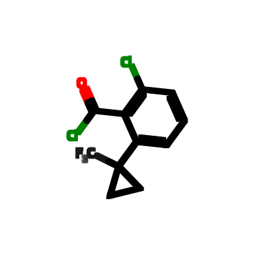 O=C(Cl)c1c(Cl)cccc1C1(C(F)(F)F)CC1